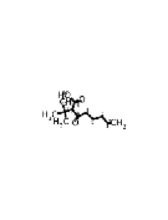 CCCCCC(=O)C(C(=O)O)C(C)(C)C